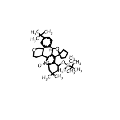 CC1(C)Cc2c(c3c(c(C4CCOCC4)[n+]2[O-])[C@@H](c2ccc(C(C)(C)C)cc2)OC32CCCC2)C(O[Si](C)(C)C(C)(C)C)C1